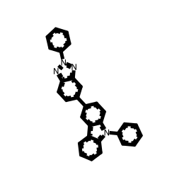 c1ccc(-n2nc3ccc(-c4ccc5c(c4)c4ccccc4n5-c4ccccc4)cc3n2)cc1